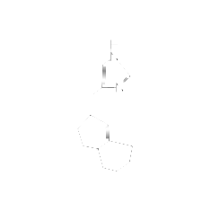 C[C@@]12CCCCC1=C[C@@H](Cc1c[nH]cn1)CC2